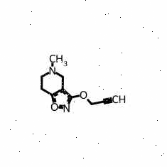 C#CCOc1noc2c1CN(C)CC2